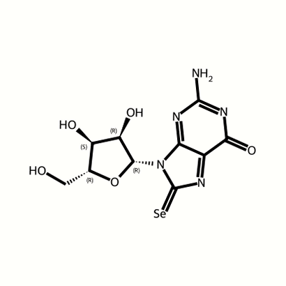 NC1=NC(=O)C2=NC(=[Se])N([C@@H]3O[C@H](CO)[C@@H](O)[C@H]3O)C2=N1